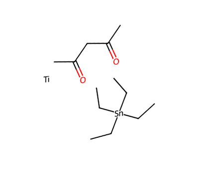 CC(=O)CC(C)=O.C[CH2][Sn]([CH2]C)([CH2]C)[CH2]C.[Ti]